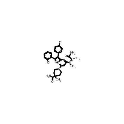 C[C@@H](C(N)=O)N(C)c1cc(N2CCC(C)(C(N)=O)CC2)n2nc(-c3ccccc3Cl)c(-c3ccc(Cl)cc3)c2n1